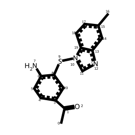 CC(=O)c1ccc(N)c(Sn2cnc3cc(C)ccc32)c1